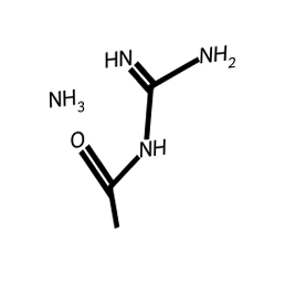 CC(=O)NC(=N)N.N